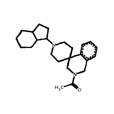 CC(=O)N1Cc2ccccc2C2(CCN(C3CCC4CCCCC43)CC2)C1